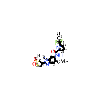 COc1cc2nc(C3CCS(=O)(=O)C3)n(C)c2cc1NC(=O)c1cccc(C(C)(F)F)n1